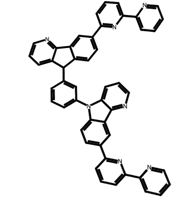 c1ccc(-c2cccc(-c3ccc4c(c3)-c3ncccc3C4c3cccc(-n4c5ccc(-c6cccc(-c7ccccn7)n6)cc5c5ncccc54)c3)n2)nc1